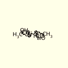 CC(C)(CO)CCCc1ccc(CCc2ccc(CCCC(C)(C)CO)[s+]2[O-])[s+]1[O-]